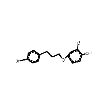 Oc1ccc(OCCCc2ccc(Br)cc2)cc1Cl